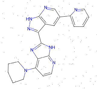 c1ccc(-c2cnc3[nH]nc(-c4nc5c(N6CCCCC6)ccnc5[nH]4)c3c2)nc1